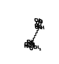 CCOC(=O)C(Cc1ccccc1)NC(=O)CCCCCCCCCCN1CN(C)c2c1n(C)c(=O)[nH]c2=O